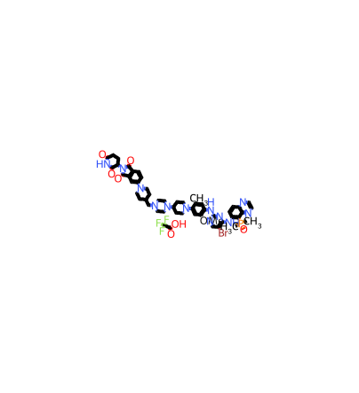 COc1cc(N2CCC(N3CCN(CC4CCN(c5ccc6c(c5)C(=O)N(C5CCC(=O)NC5=O)C6=O)CC4)CC3)CC2)c(C)cc1Nc1ncc(Br)c(Nc2ccc3nccnc3c2P(C)(C)=O)n1.O=C(O)C(F)(F)F